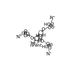 CCCCC[C@@H](C)[C@H]1CC[C@H]2[C@@H]3[C@H](OCCOP(=O)(O)OCC[N+](C)(C)C)C[C@@H]4C[C@H](OCCOP(=O)(O)OCC[N+](C)(C)C)CC[C@]4(C)[C@H]3C[C@H](OCCOP(=O)(O)OCC[N+](C)(C)C)[C@]12C